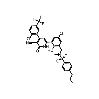 CCCc1ccc(S(=O)(=O)N(C)Cc2cc(Cl)cc(-c3cc(-c4cc(C(F)(F)F)ccc4Cl)c(C#N)c(=O)[nH]3)c2O)cc1